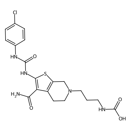 NC(=O)c1c(NC(=O)Nc2ccc(Cl)cc2)sc2c1CCN(CCCNC(=O)O)C2